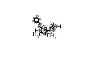 CN(CC(C)(C)NC(=O)OCc1ccccc1)C(=O)CCS(=O)(=O)O